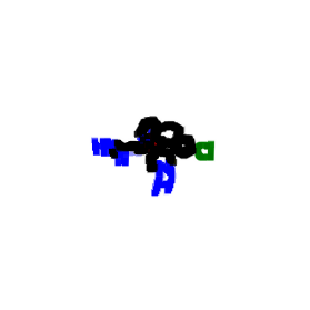 O=C(/C=C/c1c[nH]cn1)C1(C2c3ccc(Cl)cc3CCc3cccnc32)CCNCC1